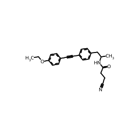 CCOc1ccc(C#Cc2ccc(CC(C)NC(=O)CCC#N)cc2)cc1